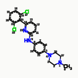 CN1CCN(c2ccc(Nc3cccc(-c4c(Cl)cccc4Cl)n3)cc2)CC1